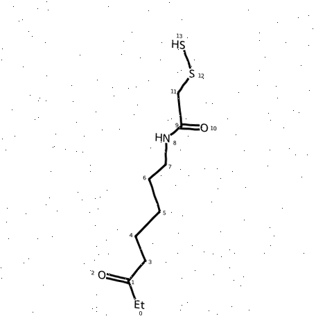 CCC(=O)CCCCCNC(=O)CSS